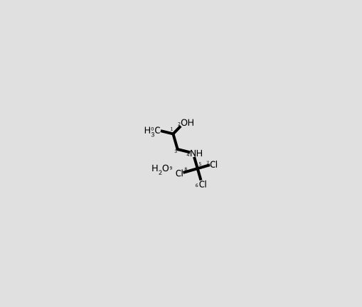 CC(O)CNC(Cl)(Cl)Cl.O